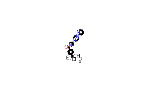 CCC(C)(C)c1ccc(C(=O)N2CC(N3CCN(c4ccccn4)CC3)C2)cc1